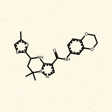 Cc1cnc(C2CC(C)(C)n3ncc(C(=O)Nc4ccc5c(c4)OCCO5)c3N2)s1